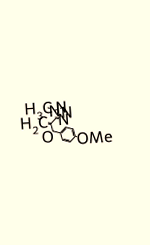 C=C(C(=O)c1ccc(OC)cc1)c1nnnn1C